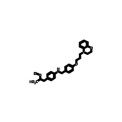 CCOC(Cc1ccc(NCc2ccc(OCCCN3CCOc4ccccc43)cc2)cc1)C(=O)O